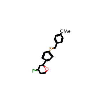 COc1ccc(CSc2ccc(C3CC(F)CCO3)cc2)cc1